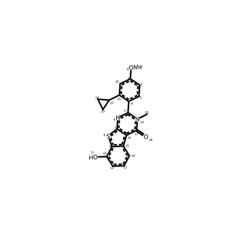 COc1ccc(-c2nc3sc4c(O)cccc4c3c(=O)n2C)c(C2CC2)c1